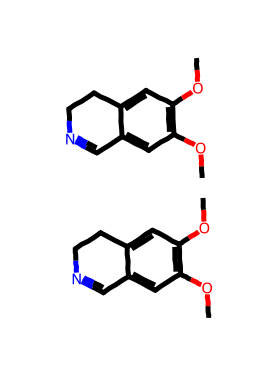 COc1cc2c(cc1OC)CCN=C2.COc1cc2c(cc1OC)CCN=C2